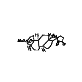 CO[C@@H]1CC[C@@]2(C)[C@H](CCC3[C@@H]2CC[C@]2(C)C([C@]4(C)CCC(=O)N4)CC[C@@H]32)C1